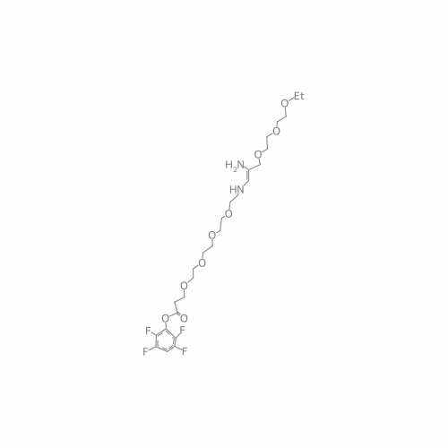 CCOCCOCCOC/C(N)=C/NCCOCCOCCOCCOCCC(=O)Oc1c(F)c(F)cc(F)c1F